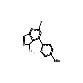 CCCCc1ccc(-c2cc(Br)cc3c2C(C)C=C3)cc1